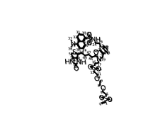 C=CS(=O)(=O)CCOCCOCCS(=O)(=O)CCN(Cc1cn(CCNS(=O)(=O)c2cccc3c(N(C)C)cccc23)nn1)C(=O)CCCCC1SCC2NC(=O)NC21